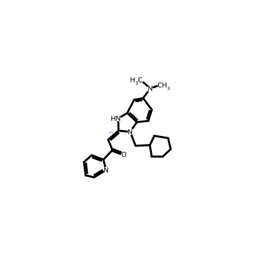 CN(C)c1ccc2c(c1)N/C(=C/C(=O)c1ccccn1)N2CC1CCCCC1